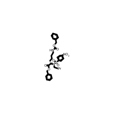 CC(C)CN([C@@H](CCCCNC(=O)OCc1ccccc1)C(=O)OCc1ccccc1)S(=O)(=O)c1ccc([N+](=O)[O-])cc1